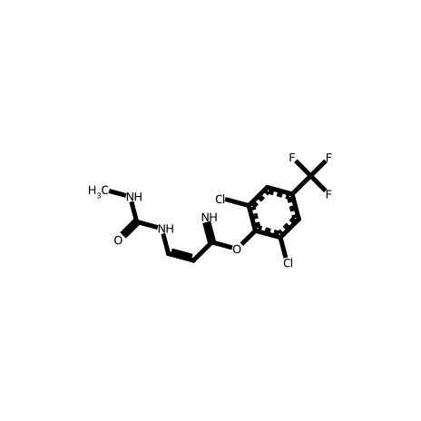 CNC(=O)N/C=C\C(=N)Oc1c(Cl)cc(C(F)(F)F)cc1Cl